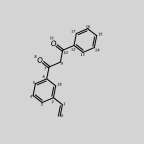 C=Cc1cccc(C(=O)CC(=O)c2ccccc2)c1